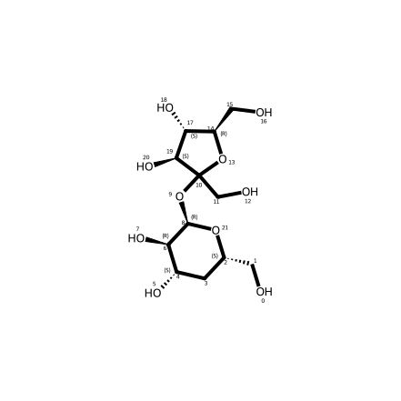 OC[C@@H]1C[C@H](O)[C@@H](O)[C@@H](OC2(CO)O[C@H](CO)[C@@H](O)[C@@H]2O)O1